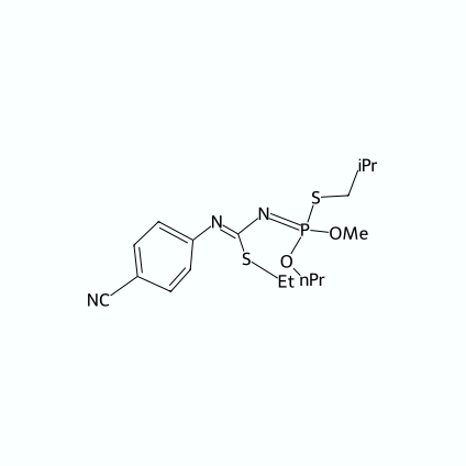 CCCOP(=NC(=Nc1ccc(C#N)cc1)SCC)(OC)SCC(C)C